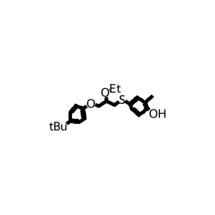 CCOC(COc1ccc(C(C)(C)C)cc1)CSc1ccc(O)c(C)c1